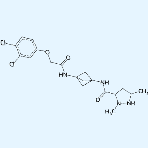 CC1CC(C(=O)NC23CC(NC(=O)COc4ccc(Cl)c(Cl)c4)(C2)C3)N(C)N1